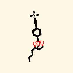 CCCCC1OC2(c3ccc(C#C[Si](C)(C)C)cc3)OCC1CO2